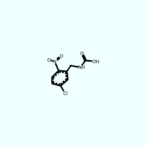 O=C(O)NCc1cc(Cl)ccc1[N+](=O)[O-]